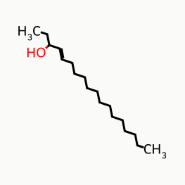 CCCCCCCCCCCCCC=CC(O)CC